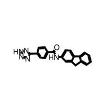 O=C(Nc1ccc2c(c1)Cc1ccccc1-2)c1ccc(-c2nn[nH]n2)cc1